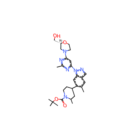 Cc1nc(N2CCO[C@@H](CO)C2)cc(-n2ncc3cc(C)c(C4CCN(C(=O)OC(C)(C)C)C(C)C4)cc32)n1